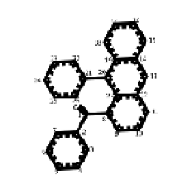 C=C(c1ccccc1)c1cccc2cc3ccccc3c(-c3ccccc3)c12